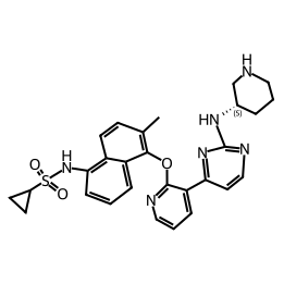 Cc1ccc2c(NS(=O)(=O)C3CC3)cccc2c1Oc1ncccc1-c1ccnc(N[C@H]2CCCNC2)n1